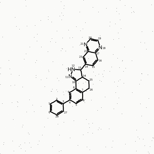 c1ccc(-c2ccc3c(c2)C2=NNC(c4ccc5nccnc5c4)C2CC3)cc1